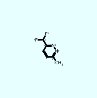 Cc1ccc(C(F)F)nn1